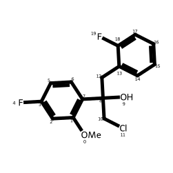 COc1cc(F)ccc1C(O)(CCl)Cc1ccccc1F